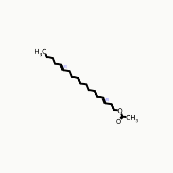 CCCC/C=C/CCCCCCCC/C=C/CCOC(C)=O